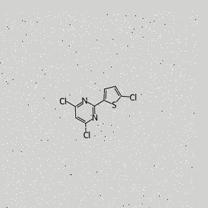 Clc1cc(Cl)nc(-c2ccc(Cl)s2)n1